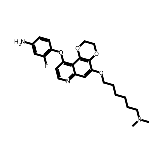 CN(C)CCCCCCOc1cc2nccc(Oc3ccc(N)cc3F)c2c2c1OCCO2